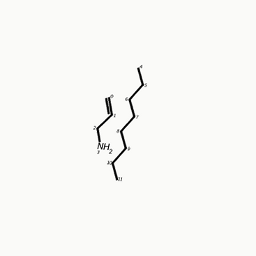 C=CCN.CCCCCCCC